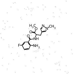 COC(=O)C(Cc1cnn(C)c1)NC(=O)c1cc(F)ccc1N